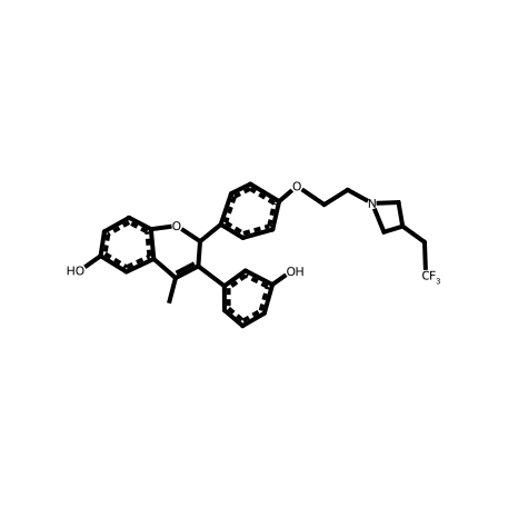 CC1=C(c2cccc(O)c2)C(c2ccc(OCCN3CC(CC(F)(F)F)C3)cc2)Oc2ccc(O)cc21